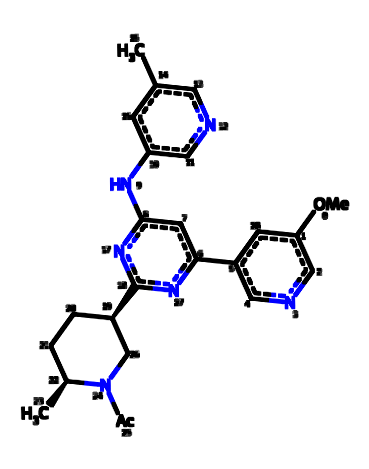 COc1cncc(-c2cc(Nc3cncc(C)c3)nc([C@@H]3CC[C@H](C)N(C(C)=O)C3)n2)c1